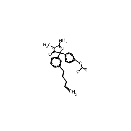 C=CCCCc1cccc(C2(c3ccc(OC(F)F)cc3)N=C(N)N(C)C2=O)c1